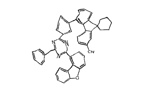 N#Cc1ccc2c(c1)C1(CCCCC1)c1cccc(-c3cccc(-c4nc(-c5ccccc5)nc(-c5cccc6oc7ccccc7c56)n4)c3)c1-2